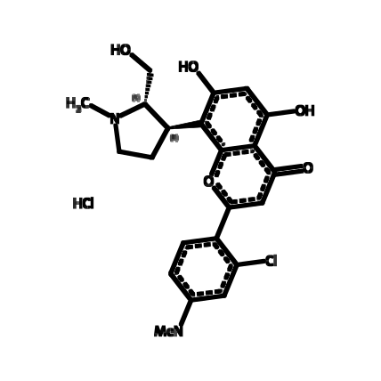 CNc1ccc(-c2cc(=O)c3c(O)cc(O)c([C@H]4CCN(C)[C@@H]4CO)c3o2)c(Cl)c1.Cl